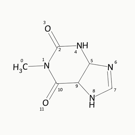 CN1C(=O)NC2N=CNC2C1=O